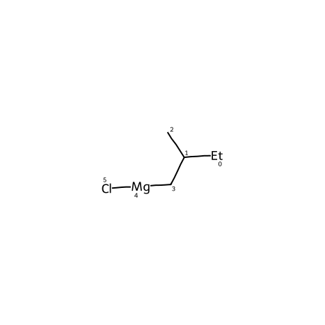 CCC(C)[CH2][Mg][Cl]